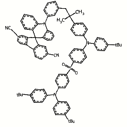 CC(C)(C)c1ccc(N(c2ccc(C(C)(C)C)cc2)c2ccc(S(=O)(=O)c3ccc(N(c4ccc(C(C)(C)C)cc4)c4ccc(C(C)(C)Cc5cccc(N6c7ccccc7C7(c8cc(C#N)ccc8-c8ccc(C#N)cc87)c7ccccc76)c5)cc4)cc3)cc2)cc1